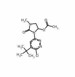 CC(=O)OC1CN(C)C(=O)N1c1cc(C(C)(C)C)c(Cl)nn1